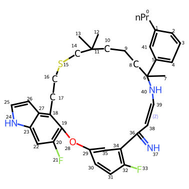 CCCc1cccc(C2(C)CCCC(C)(C)CSCCc3c(c(F)cc4[nH]ccc34)Oc3ccc(F)c(c3)C(=N)/C=C\N2)c1